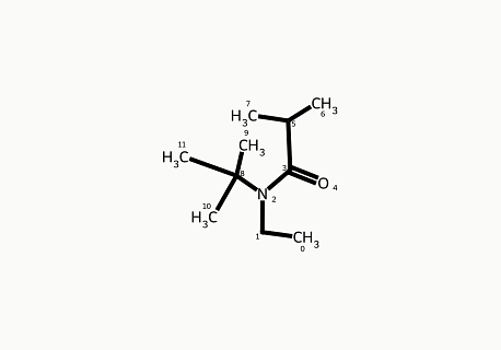 CCN(C(=O)C(C)C)C(C)(C)C